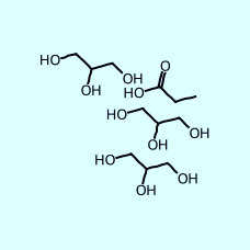 CCC(=O)O.OCC(O)CO.OCC(O)CO.OCC(O)CO